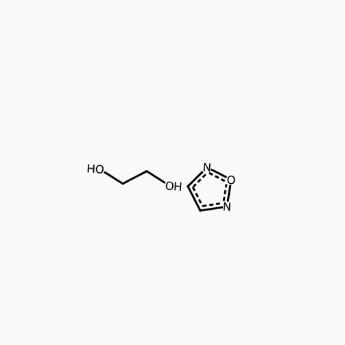 OCCO.c1cnon1